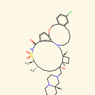 C[C@@H]1[C@@H](C)CCCC(O)(CN2CCN3CCOC[C@H]3C2)[C@@H]2CC[C@H]2CN2CCCCc3cc(Cl)ccc3COc3ccc(cc32)C(=O)NS1(=O)=O